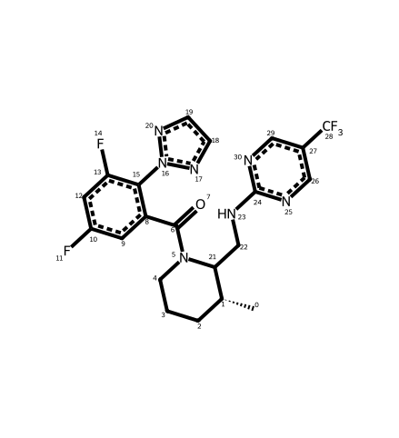 C[C@@H]1CCCN(C(=O)c2cc(F)cc(F)c2-n2nccn2)C1CNc1ncc(C(F)(F)F)cn1